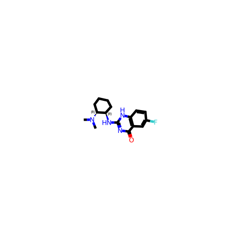 CN(C)[C@@H]1CCCC[C@H]1Nc1nc(=O)c2cc(F)ccc2[nH]1